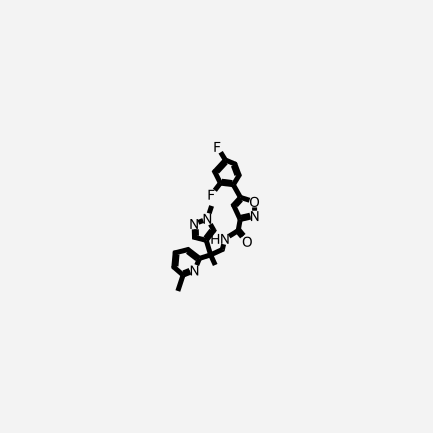 Cc1cccc(C(C)(CNC(=O)c2cc(-c3ccc(F)cc3F)on2)c2cnn(C)c2)n1